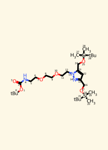 CC(C)(C)OC(=O)NCCOCCOCCn1nc(CO[Si](C)(C)C(C)(C)C)cc1CO[Si](C)(C)C(C)(C)C